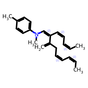 C=C(C/C=C\C=C/C)C(/C=C\C=C/C)=C\N(C)c1ccc(C)cc1